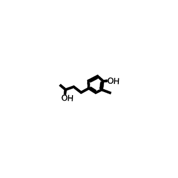 Cc1cc(CCC(C)O)ccc1O